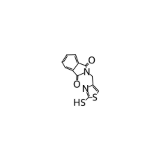 O=C1c2ccccc2C(=O)N1Cc1csc(S)n1